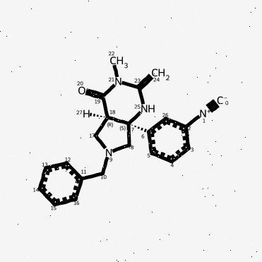 [C-]#[N+]c1cccc([C@]23CN(Cc4ccccc4)C[C@H]2C(=O)N(C)C(=C)N3)c1